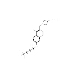 [2H]C([2H])([2H])C([2H])([2H])C([2H])([2H])C([2H])([2H])Oc1ccc2c(c1)CCC(CN1CC(C(=O)O)C1)=C2C